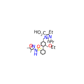 CCCc1nc(CC)c(C(=O)O)n1Cc1ccc(-c2ccccc2[S+]([O-])Nc2noc(C)c2C)c(COCC)c1